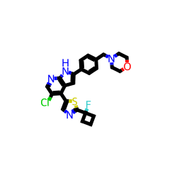 FC1(c2ncc(-c3c(Cl)cnc4[nH]c(-c5ccc(CN6CCOCC6)cc5)cc34)s2)CCC1